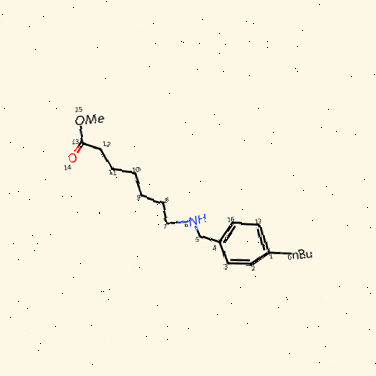 CCCCc1ccc(CNCCCCCCC(=O)OC)cc1